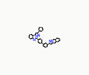 c1ccc(-c2cc3c4ccccc4nc(-c4ccc(-c5cccc(-c6cc7cc8ccccc8cn7n6)c5)cc4)n3n2)cc1